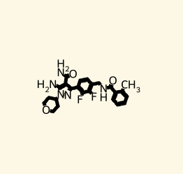 Cc1ccccc1C(=O)NCc1ccc(-c2nn(C3CCOCC3)c(N)c2C(N)=O)c(F)c1F